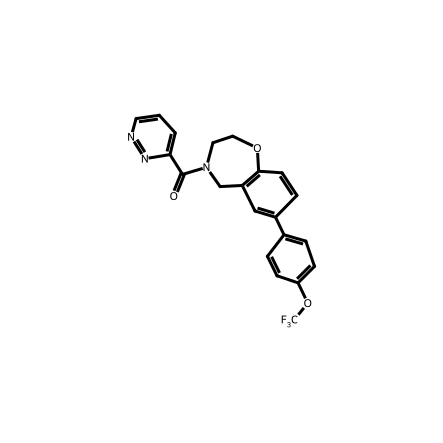 O=C(c1cccnn1)N1CCOc2ccc(-c3ccc(OC(F)(F)F)cc3)cc2C1